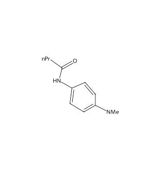 CCCC(=O)Nc1ccc(NC)cc1